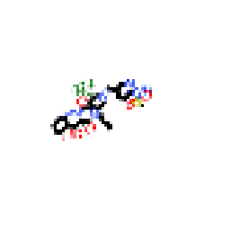 CCCCN1C(=O)[C@@H]([C@H](O)C2CCCCC2)NC(=O)C12CCN(Cc1ccc(NS(C)(=O)=O)nc1)CC2.Cl.Cl